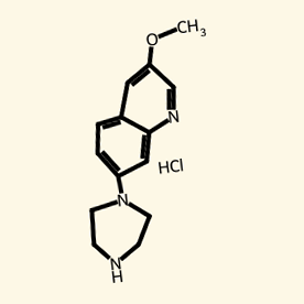 COc1cnc2cc(N3CCNCC3)ccc2c1.Cl